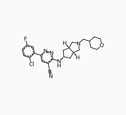 N#Cc1cc(-c2cc(F)ccc2Cl)nnc1N[C@H]1C[C@@H]2CN(CC3CCOCC3)C[C@@H]2C1